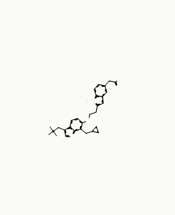 CC(C)(C)Cc1coc2c(CC3CC3)c(OCCc3cc4cc(CC(=O)O)ccc4[nH]3)ccc12